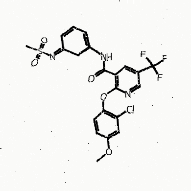 COc1ccc(Oc2ncc(C(F)(F)F)cc2C(=O)NC2=CC=CC(=NS(C)(=O)=O)C2)c(Cl)c1